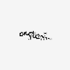 C=C(/C=C(\C=C/N)C(=O)NCC1CCN(CC(=O)NC(C)(C)C)CC1)N1CCCC1